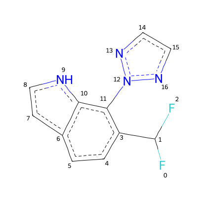 FC(F)c1ccc2cc[nH]c2c1-n1nccn1